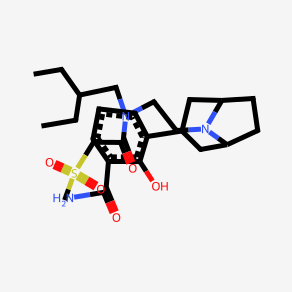 CCC(CC)CN(CCN1C2CCC1CC(c1cccc(C(N)=O)c1O)C2)C(=O)CS(C)(=O)=O